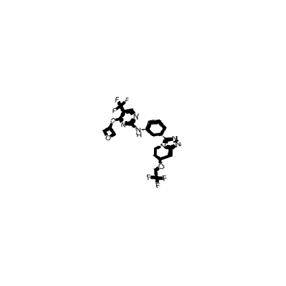 FC(F)(F)COC1CCn2c(nnc2[C@H]2CCC[C@@H](Nc3ncc(C(F)(F)F)c(OC4COC4)n3)C2)C1